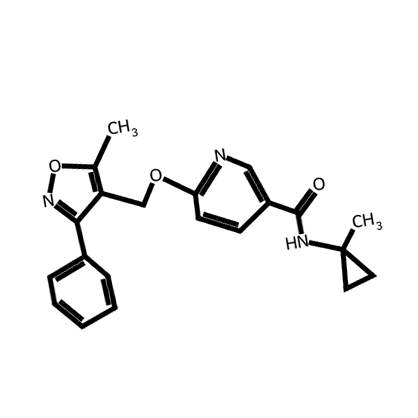 Cc1onc(-c2ccccc2)c1COc1ccc(C(=O)NC2(C)CC2)cn1